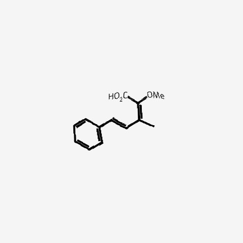 COC(C(=O)O)=C(C)C=Cc1ccccc1